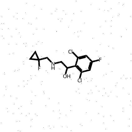 OC(CNCC1(F)CC1)c1c(Cl)cc(F)cc1Cl